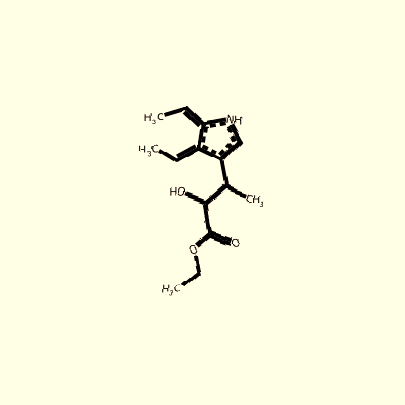 C/C=c1/c(C(C)C(O)C(=O)OCC)c[nH]/c1=C/C